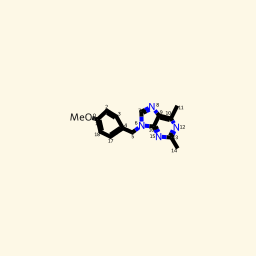 COc1ccc(Cn2cnc3c(C)nc(C)nc32)cc1